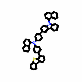 c1ccc2c(N(c3ccc(-c4ccc5c(c4)c4ccccc4n5-c4cccc5ccccc45)cc3)c3ccc(-c4cccc5c4sc4ccccc45)cc3)cccc2c1